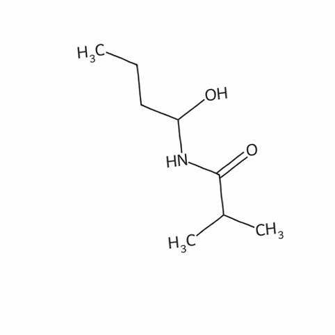 CCCC(O)NC(=O)C(C)C